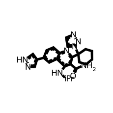 CC(C)Nc1c(C(N)=O)c(C2(n3ccnn3)CCCCC2)nc2ccc(-c3cn[nH]c3)cc12